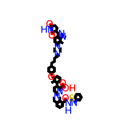 Cc1c(OC2CCC(CCCCN3CCN(c4ccc5c(C6CCC(=O)NC6=O)nn(C)c5c4C)CC3)CC2)cccc1-c1ccc(N2CCc3cccc(C(=O)Nc4nc5ccccc5s4)c3C2)nc1C(=O)O